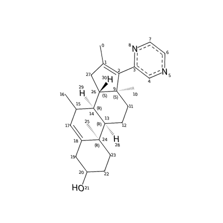 CC1=C(c2cnccn2)[C@@]2(C)CC[C@@H]3[C@@H](C(C)C=C4CC(O)CC[C@@]43C)[C@@H]2C1